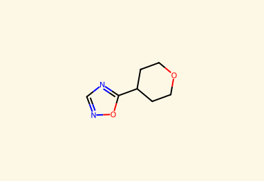 c1noc(C2CCOCC2)n1